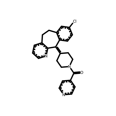 O=C(c1ccncc1)N1CCC(=C2c3ccc(Cl)cc3CCc3cccnc32)CC1